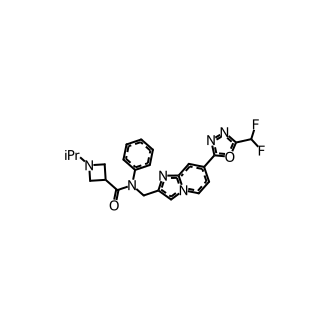 CC(C)N1CC(C(=O)N(Cc2cn3ccc(-c4nnc(C(F)F)o4)cc3n2)c2ccccc2)C1